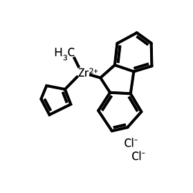 [CH3][Zr+2]([C]1=CC=CC1)[CH]1c2ccccc2-c2ccccc21.[Cl-].[Cl-]